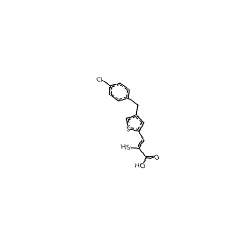 O=C(O)C(S)=Cc1cc(Cc2ccc(Cl)cc2)cs1